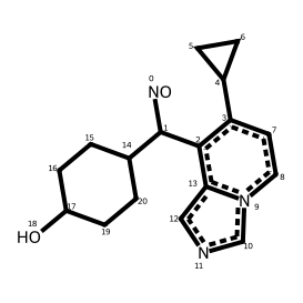 O=NC(c1c(C2CC2)ccn2cncc12)C1CCC(O)CC1